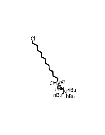 CCCC[N+](CCCC)(CCCC)CCCC.ClCCCCCCCCCCCC[N+](Cl)(Cl)Cl